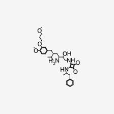 COCCCOc1cc(C[C@@H](C[C@H](N)[C@@H](O)CNc2c(NC(C)Cc3ccccc3)c(=O)c2=O)C(C)C)ccc1OC